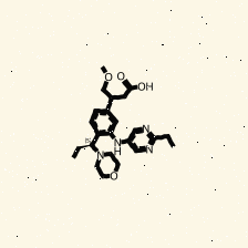 CCc1ncc(Nc2cc(C(COC)CC(=O)O)ccc2[C@H](CC)N2CCOCC2)cn1